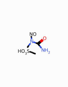 CN(N=O)C(N)=O.CS(=O)(=O)O